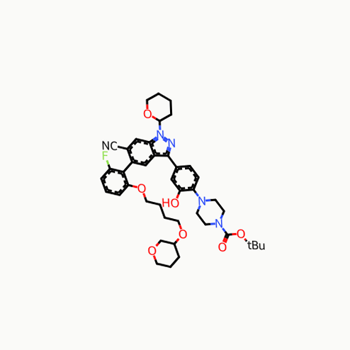 CC(C)(C)OC(=O)N1CCN(c2ccc(-c3nn(C4CCCCO4)c4cc(C#N)c(-c5c(F)cccc5OCCCCOC5CCCOC5)cc34)cc2O)CC1